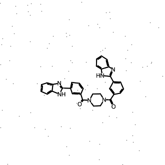 O=C(c1cccc(-c2nc3ccccc3[nH]2)c1)N1CCN(C(=O)c2cccc(-c3nc4ccccc4[nH]3)c2)CC1